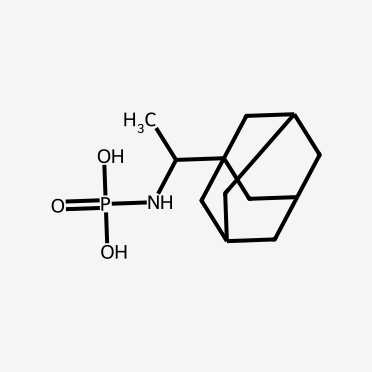 CC(NP(=O)(O)O)C12CC3CC(CC(C3)C1)C2